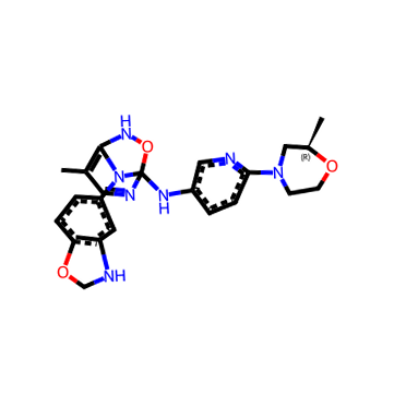 CC1=C2NOC(Nc3ccc(N4CCO[C@H](C)C4)nc3)(N=C1)N2c1ccc2c(c1)NCO2